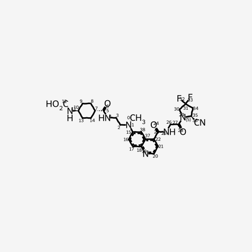 CN(CCNC(=O)[C@H]1CC[C@H](NC(=O)O)CC1)c1ccc2nccc(C(=O)NCC(=O)N3CC(F)(F)C[C@H]3C#N)c2c1